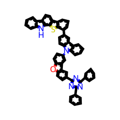 c1ccc(-c2nc(-c3ccccc3)nc(-c3ccc4oc5ccc(-n6c7ccccc7c7cc(-c8cccc9c8sc8c9ccc9c%10ccccc%10[nH]c98)ccc76)cc5c4c3)n2)cc1